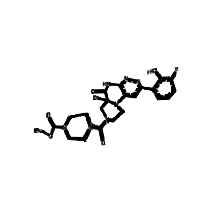 CCC12CN(C(=O)N3CCN(C(=O)OC(C)(C)C)CC3)CCN1c1cc(-c3cccc(F)c3O)nnc1NC2=O